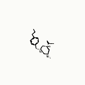 C=C(C)[C@@H]1C[C@H](C)C[C@H](Cc2ccc(CCC)cc2)C1